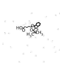 CN(C)C(=O)c1sc2ccccc2c1OCCCCC(=O)O